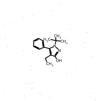 CCc1c(O)nn(C(C)(C)C)c1-c1ccccc1